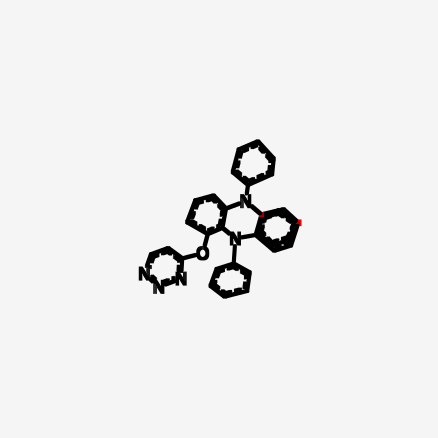 c1ccc(N(c2ccccc2)c2cccc(Oc3ccnnn3)c2N(c2ccccc2)c2ccccc2)cc1